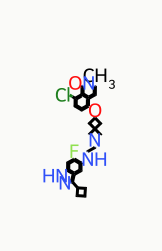 Cn1ccc2c(OC3CC4(C3)CN(CCNc3cc5c(C6CCC6)n[nH]c5cc3F)C4)ccc(Cl)c2c1=O